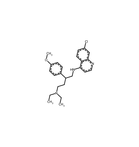 CCN(CC)CCC(CNc1ccnc2cc(Cl)ccc12)c1ccc(OC)cc1